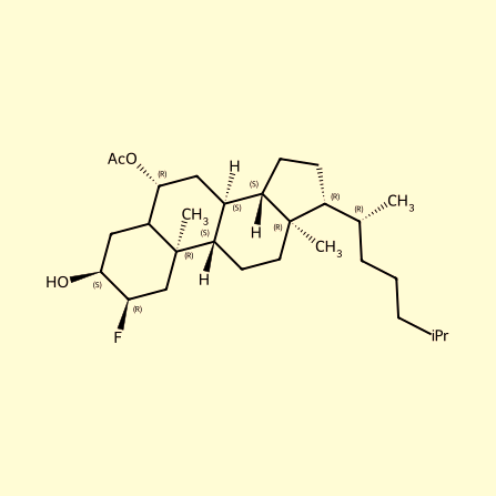 CC(=O)O[C@@H]1C[C@H]2[C@@H]3CC[C@H]([C@H](C)CCCC(C)C)[C@@]3(C)CC[C@@H]2[C@@]2(C)C[C@@H](F)[C@@H](O)CC12